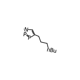 CCCCCCCC1=C[N]P=P1